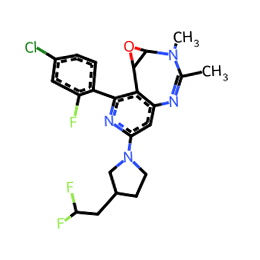 CC1=Nc2cc(N3CCC(CC(F)F)C3)nc(-c3ccc(Cl)cc3F)c2C2OC2N1C